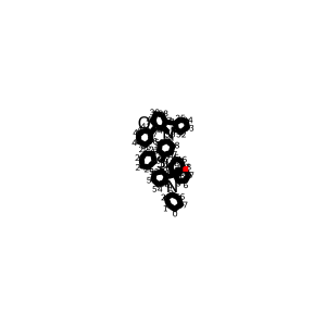 c1ccc(-n2c3ccccc3c3c([Si](c4ccccc4)(c4ccccc4)c4ccc(-n5c6ccccc6c6ccc7oc8ccccc8c7c65)cc4)cccc32)cc1